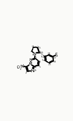 O=[N+]([O-])c1cnc2ccc(N3CCC[C@@H]3c3cccc(F)c3)nn12